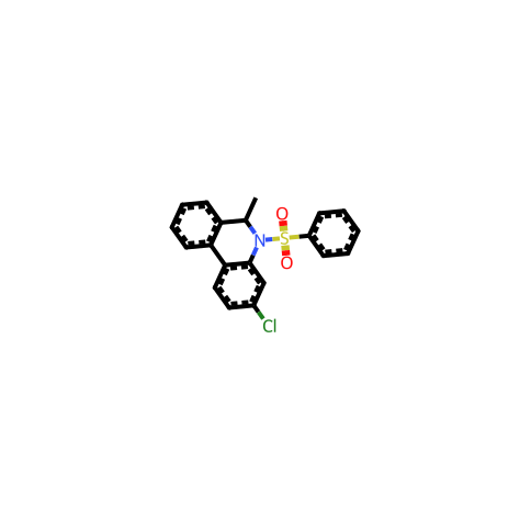 CC1c2ccccc2-c2ccc(Cl)cc2N1S(=O)(=O)c1ccccc1